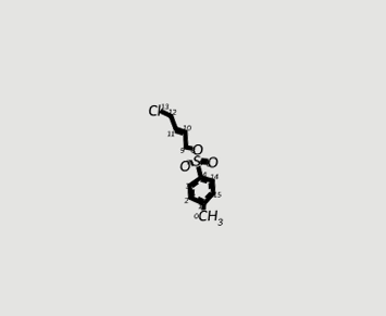 Cc1ccc(S(=O)(=O)OCC=CCCl)cc1